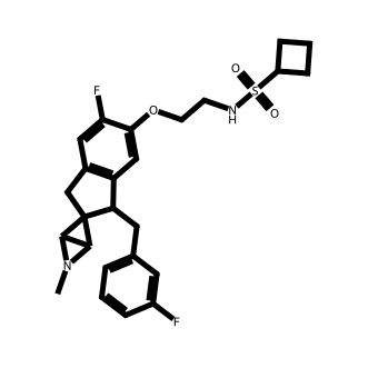 CN1C2C1C21Cc2cc(F)c(OCCNS(=O)(=O)C3CCC3)cc2C1Cc1cccc(F)c1